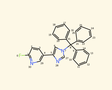 Fc1ccc(-c2cn(C(c3ccccc3)(c3ccccc3)c3ccccc3)cn2)cn1